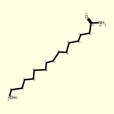 CCCCCCCCCCCCCCCCCCCCCCCCC(N)=O